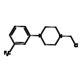 FC(F)(F)c1cccc(N2CCN(CCl)CC2)c1